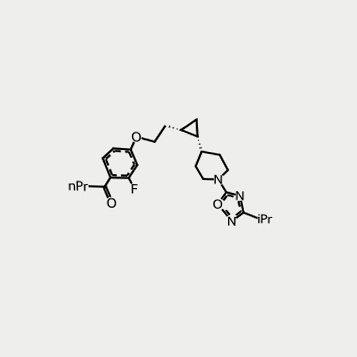 CCCC(=O)c1ccc(OCC[C@@H]2C[C@@H]2C2CCN(c3nc(C(C)C)no3)CC2)cc1F